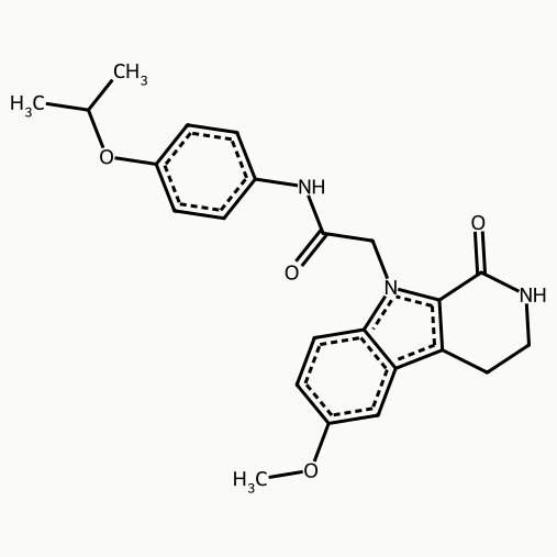 COc1ccc2c(c1)c1c(n2CC(=O)Nc2ccc(OC(C)C)cc2)C(=O)NCC1